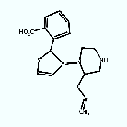 C=CCC1CNCCN1N1C=CSC1c1ccccc1C(=O)O